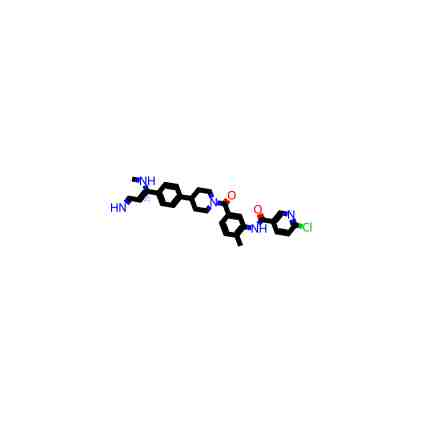 CN/C(=C\C=N)c1ccc(C2CCN(C(=O)c3ccc(C)c(NC(=O)c4ccc(Cl)nc4)c3)CC2)cc1